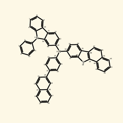 c1ccc(-n2c3ccccc3c3ccc(N(c4ccc(-c5ccc6ccccc6c5)cc4)c4ccc5c(c4)sc4c6ccccc6ccc54)cc32)cc1